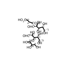 C[C@H](O)[C@@H](O)[C@@H](O)[C@H](O)C=O.C[C@H](O)[C@H](O)[C@@H](O)[C@@H](O)C=O.O=C(O)CCC(=O)O.OCC(O)CO